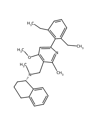 CCc1cccc(CC)c1-c1cc(OC)c(CN(C)[C@H]2CCCc3ccccc32)c(C)n1